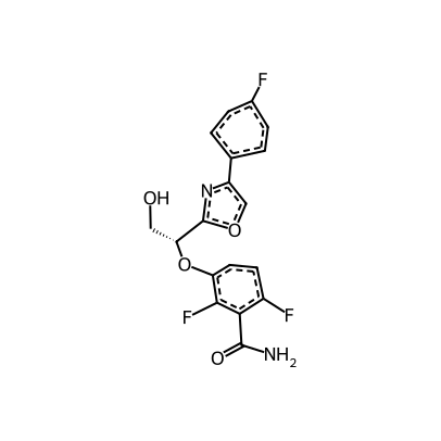 NC(=O)c1c(F)ccc(O[C@H](CO)c2nc(-c3ccc(F)cc3)co2)c1F